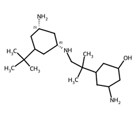 CC(C)(C)C1C[C@H](N)C[C@H](NCC(C)(C)C2CC(N)CC(O)C2)C1